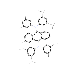 CC[SiH2]c1cc(N(c2cc(C(C)(C)C)cc(C(C)(C)C)c2)c2c3ccccc3c(N(c3cc([SiH](CC)CC)cc([SiH](CC)CC)c3)c3cc(C(C)(C)C)cc(C(C)(C)C)c3)c3ccc(C(C)(C)C)cc23)cc([SiH](CC)CC)c1